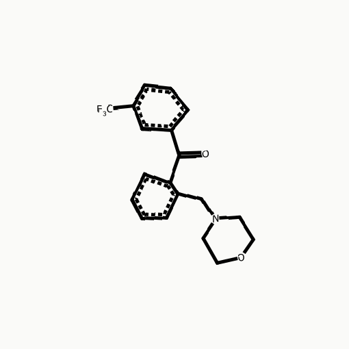 O=C(c1cccc(C(F)(F)F)c1)c1ccccc1CN1CCOCC1